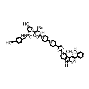 C#Cc1ccc(CNC(=O)[C@@H]2C[C@@H](O)CN2C(=O)[C@@H](NC(=O)N2CCC(N3CCC(c4cnc(N5CCc6[nH]c7nnc(-c8ccccc8O)cc7c6[C@@H]5C)s4)CC3)CC2)C(C)(C)C)cc1